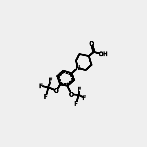 O=C(O)C1CCN(c2ccc(OC(F)(F)F)c(OC(F)(F)F)c2)CC1